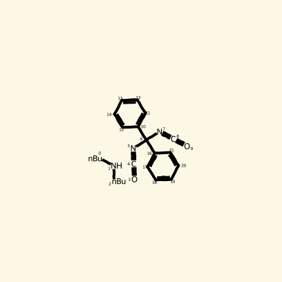 CCCCNCCCC.O=C=NC(N=C=O)(c1ccccc1)c1ccccc1